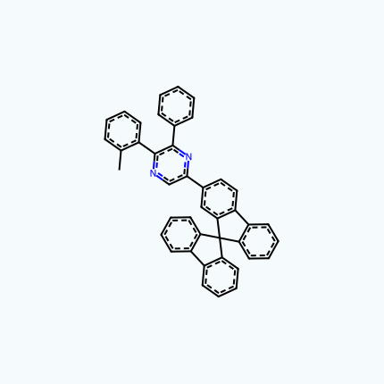 Cc1ccccc1-c1ncc(-c2ccc3c(c2)C2(c4ccccc4-c4ccccc42)c2ccccc2-3)nc1-c1ccccc1